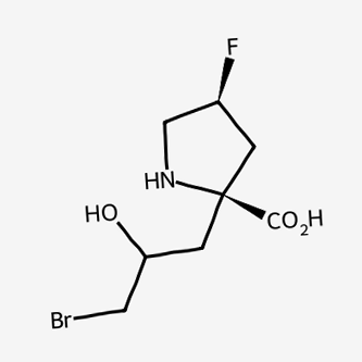 O=C(O)[C@]1(CC(O)CBr)C[C@H](F)CN1